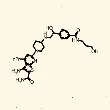 CCCc1cc(N2CCC(NCC(O)c3ccc(C(=O)NCCCO)cc3)CC2)nc2sc(C(N)=O)c(N)c12